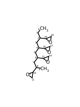 CCC(CC(CC(CC(C)C1CO1)C1CO1)C1CO1)C1CO1